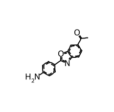 CC(=O)c1ccc2nc(-c3ccc(N)cc3)oc2c1